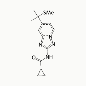 CSC(C)(C)c1ccn2nc(NC(=O)C3CC3)nc2c1